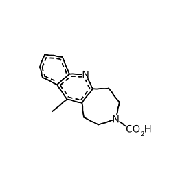 Cc1c2c(nc3ccccc13)CCN(C(=O)O)CC2